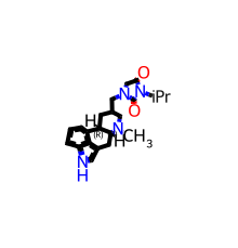 CC(C)N1C(=O)CN(CC2C[C@@H]3c4cccc5[nH]cc(c45)C[C@H]3N(C)C2)C1=O